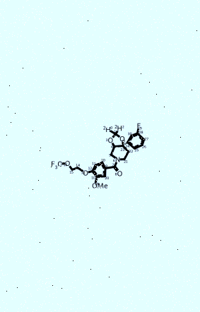 [2H]C1([2H])OC2CN(C(=O)c3ccc(OCCOC(F)(F)F)c(OC)c3)CC[C@]2(c2cccc(F)c2)O1